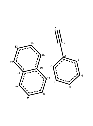 C#Cc1ccccc1.c1ccc2ccccc2c1